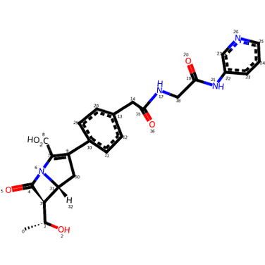 C[C@@H](O)[C@H]1C(=O)N2C(C(=O)O)=C(c3ccc(CC(=O)NCC(=O)Nc4cccnc4)cc3)C[C@H]12